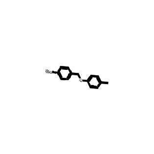 CCC(C)c1ccc(COc2ccc(C)cc2)cc1